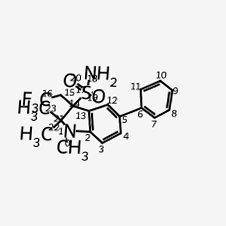 CN1c2ccc(-c3ccccc3)cc2C(CC(F)(F)F)(S(N)(=O)=O)C1(C)C